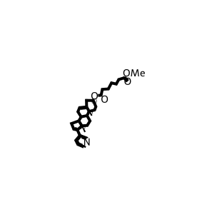 COC(=O)CCCCCC(=O)O[C@H]1CC[C@@]2(C)C(=CCC3C2CC[C@]2(C)C(c4cccnc4)=CCC32)C1